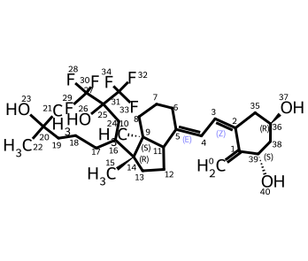 C=C1/C(=C\C=C2/CCC[C@@]3(C)C2CC[C@]3(C)C(CCCC(C)(C)O)CC(O)(C(F)(F)F)C(F)(F)F)C[C@@H](O)C[C@@H]1O